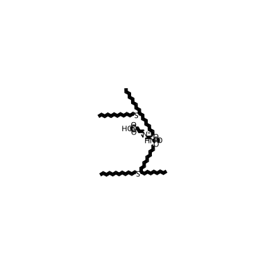 CCCCCCCCCCCCSC(CCCCCCCC)CCCCCCCCCOP(=O)(NCC[N+](C)(C)CCCS(=O)(=O)O)OCCCCCCCCC(CCCCCCCCC)SCCCCCCCCCCCC